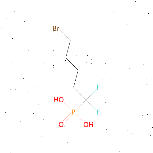 O=P(O)(O)C(F)(F)CCCCBr